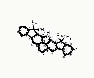 CC1(C)c2ccccc2-c2cc3ccc4cc5c(c6[nH]c(c21)c3c46)C(C)(C)c1ccccc1-5